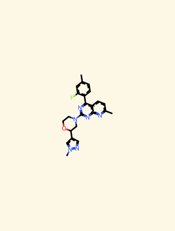 Cc1ccc(-c2nc(N3CCOC(c4cnn(C)c4)C3)nc3nc(C)ccc23)c(F)c1